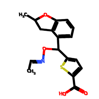 CC=NOC(c1ccc(C(=O)O)s1)c1cccc2c1CC(C)O2